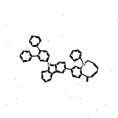 C=C1/C=C\C=C/CN(c2ccccc2)c2cc(-c3ccc4c(c3)c3ccccc3n4-c3ccc(-c4ccccc4)c(-c4ccccc4)c3)ccc21